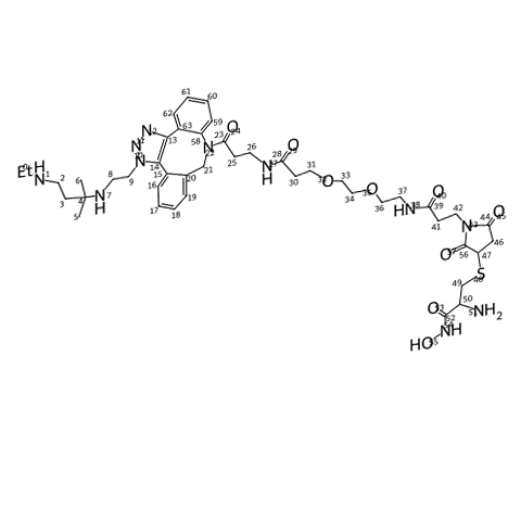 CCNCCC(C)(C)NCCn1nnc2c1-c1ccccc1CN(C(=O)CCNC(=O)CCOCCOCCNC(=O)CCN1C(=O)CC(SCC(N)C(=O)NO)C1=O)c1ccccc1-2